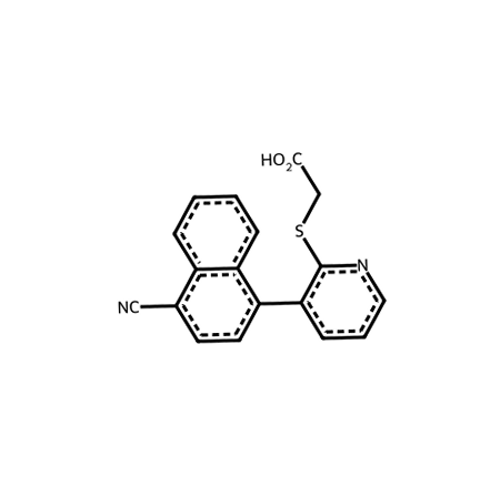 N#Cc1ccc(-c2cccnc2SCC(=O)O)c2ccccc12